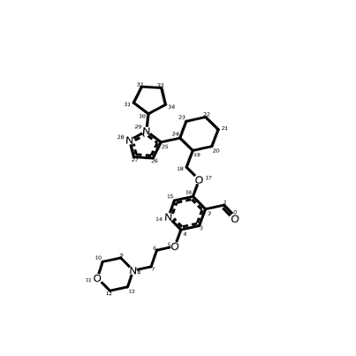 O=Cc1cc(OCCN2CCOCC2)ncc1OCC1CCCCC1c1ccnn1C1CCCC1